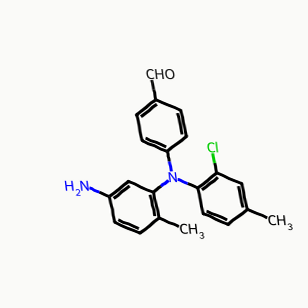 Cc1ccc(N(c2ccc(C=O)cc2)c2cc(N)ccc2C)c(Cl)c1